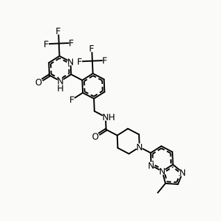 Cc1cnc2ccc(N3CCC(C(=O)NCc4ccc(C(F)(F)F)c(-c5nc(C(F)(F)F)cc(=O)[nH]5)c4F)CC3)nn12